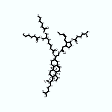 CC/C=C\CC1C(CC(=O)OCC(OC(=O)CCCCC(COC(=O)CCCCC)COC(=O)CCCCC)C2CC[C@@]3(C)C(=CC[C@H]4[C@@H]5CC[C@H]([C@H](N)CCCC(C)C)[C@@]5(C)CC[C@@H]43)C2)CCC1OC(=O)CCCN(C)C